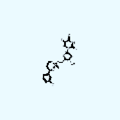 O=c1[nH]c(=O)n([C@H]2C[C@H](O)[C@@H](COP3(=O)OCCC(c4cccc(Cl)c4)O3)O2)cc1F